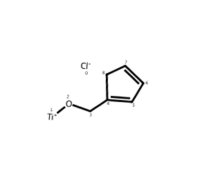 [Cl-].[Ti+][O]CC1=CC=CC1